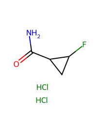 Cl.Cl.NC(=O)C1CC1F